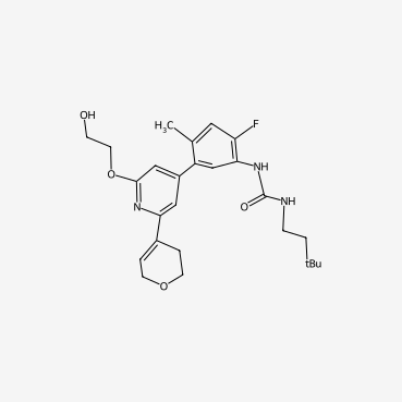 Cc1cc(F)c(NC(=O)NCCC(C)(C)C)cc1-c1cc(OCCO)nc(C2=CCOCC2)c1